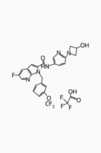 O=C(Nc1ccc(N2CC(O)C2)nc1)c1cc2cc(F)cnc2n1Cc1cccc(OC(F)(F)F)c1.O=C(O)C(F)(F)F